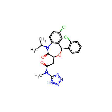 CC(C)N1C(=O)[C@H](CC(=O)N(C)c2nnn[nH]2)O[C@@H](c2ccccc2Cl)c2cc(Cl)ccc21